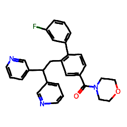 O=C(c1ccc(-c2cccc(F)c2)c(CC(c2cccnc2)c2cccnc2)c1)N1CCOCC1